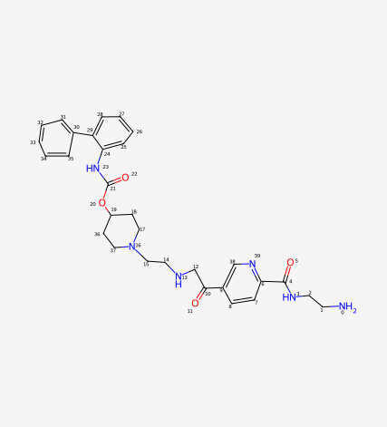 NCCNC(=O)c1ccc(C(=O)CNCCN2CCC(OC(=O)Nc3ccccc3-c3ccccc3)CC2)cn1